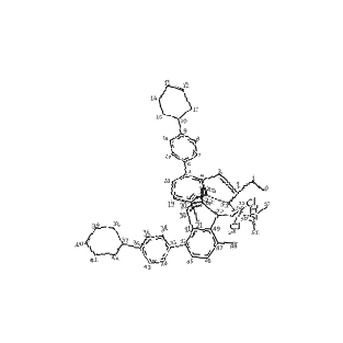 CCC1=Cc2c(-c3ccc(C4CCCCC4)cc3)ccc(C)c2[CH]1[Zr]([Cl])([Cl])([CH]1C(C)=Cc2c(-c3ccc(C4CCCCC4)cc3)ccc(C)c21)[SiH](C)C